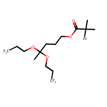 CCC(C)(C)C(=O)OCCCC(C)(OCCC(F)(F)F)OCCC(F)(F)F